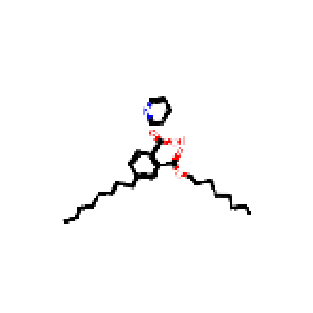 CCCCCCCCOC(=O)c1cc(CCCCCCCC)ccc1C(=O)O.c1ccncc1